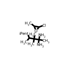 CC1OC1Cl.CCCC(C)C(C)C(C)(C)C(C)(N)N